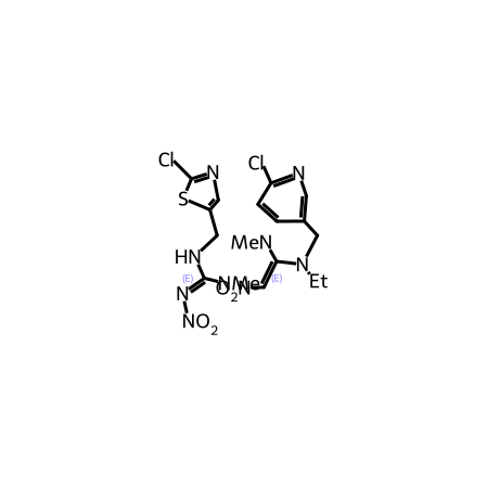 CCN(Cc1ccc(Cl)nc1)/C(=C/[N+](=O)[O-])NC.CN/C(=N\[N+](=O)[O-])NCc1cnc(Cl)s1